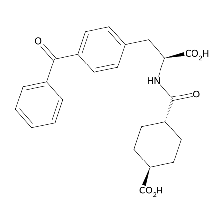 O=C(c1ccccc1)c1ccc(C[C@H](NC(=O)[C@H]2CC[C@H](C(=O)O)CC2)C(=O)O)cc1